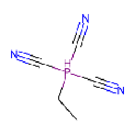 CC[PH](C#N)(C#N)C#N